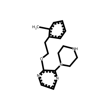 Cc1ccccc1CCOc1nccnc1N1CCNCC1